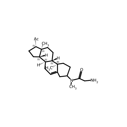 CC(=O)[C@H]1CC[C@H]2[C@@H]3CC=C4CC(N(C)C(=O)CN)CC[C@]4(C)[C@H]3CC[C@]12C